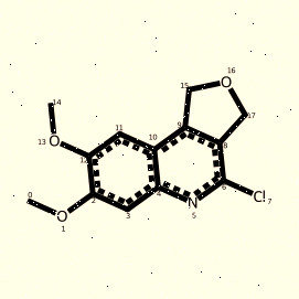 COc1cc2nc(Cl)c3c(c2cc1OC)COC3